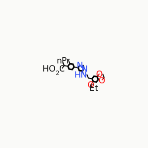 CCCc1cc(-c2cc(NCCc3cc4c(cc3OCC)OCCO4)ncn2)ccc1C(C)C(=O)O